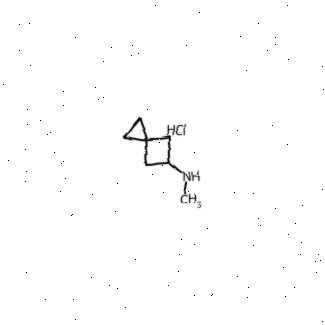 CNC1CC2(CC2)C1.Cl